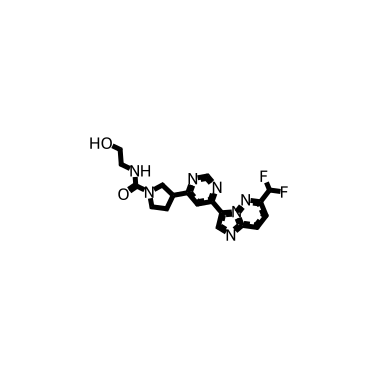 O=C(NCCO)N1CCC(c2cc(-c3cnc4ccc(C(F)F)nn34)ncn2)C1